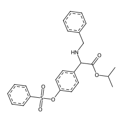 CC(C)OC(=O)C(NCc1ccccc1)c1ccc(OS(=O)(=O)c2ccccc2)cc1